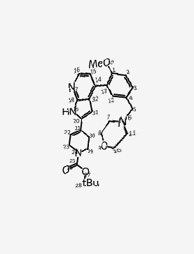 COc1ccc(CN2CCOCC2)cc1-c1ccnc2[nH]c(C3=CCN(C(=O)OC(C)(C)C)CC3)cc12